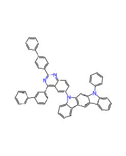 c1ccc(-c2ccc(-c3nc(-c4cccc(-c5ccccc5)c4)c4cc(-n5c6ccccc6c6cc7c8ccccc8n(-c8ccccc8)c7cc65)ccc4n3)cc2)cc1